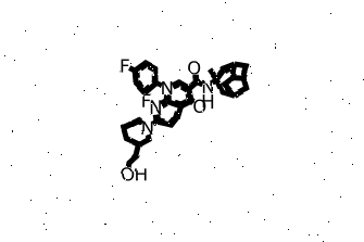 CC1(NC(=O)c2cn(-c3ccc(F)cc3F)c3nc(N4CCCC(CCO)C4)ccc3c2=O)C=C2CC3CC(CC23)C1